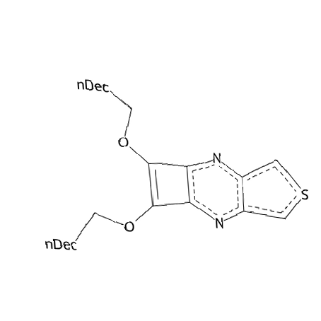 CCCCCCCCCCCOC1=C(OCCCCCCCCCCC)c2nc3cscc3nc21